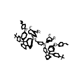 C=Cc1ccc(Oc2ccc(C3(c4ccc(C(C)(C)C)cc4)c4ccccc4-c4ccc(N(c5ccc(N(c6ccc(F)c(F)c6)c6ccc7c(c6)C(c6ccc(Oc8ccc(C=C)cc8)cc6)(c6ccc(C(C)(C)C)cc6)c6ccccc6-7)cc5)c5ccc(F)c(F)c5)cc43)cc2)cc1